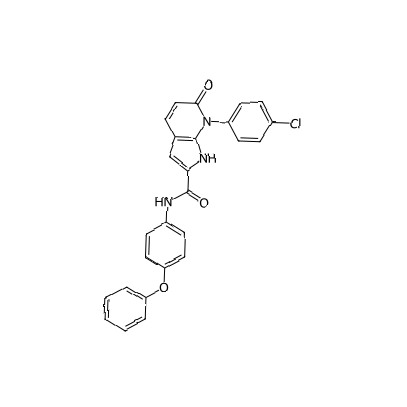 O=C(Nc1ccc(Oc2ccccc2)cc1)c1cc2ccc(=O)n(-c3ccc(Cl)cc3)c2[nH]1